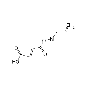 C=CCNOC(=O)C=CC(=O)O